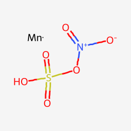 O=[N+]([O-])OS(=O)(=O)O.[Mn]